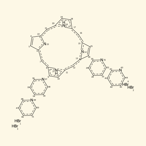 Br.Br.Br.Br.C1=Cc2cc3ccc(cc4nc(cc5ccc(cc1n2)[nH]5)C=C4)[nH]3.c1ccncc1.c1ccncc1.c1ccncc1.c1ccncc1